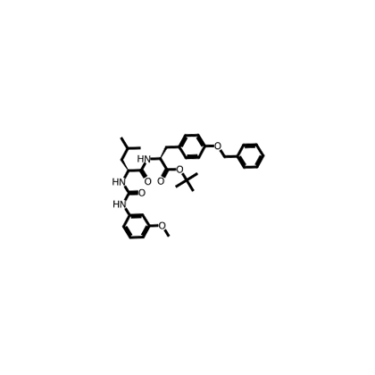 COc1cccc(NC(=O)N[C@@H](CC(C)C)C(=O)N[C@@H](Cc2ccc(OCc3ccccc3)cc2)C(=O)OC(C)(C)C)c1